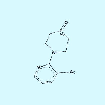 CC(=O)c1cccnc1N1CC[PH](=O)CC1